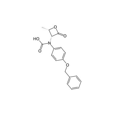 C[C@@H]1OC(=O)[C@@H]1N(C(=O)O)c1ccc(OCc2ccccc2)cc1